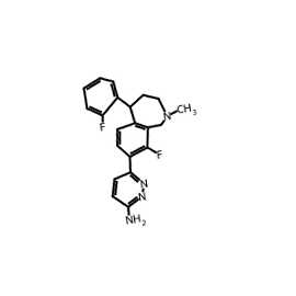 CN1CCC(c2ccccc2F)c2ccc(-c3ccc(N)nn3)c(F)c2C1